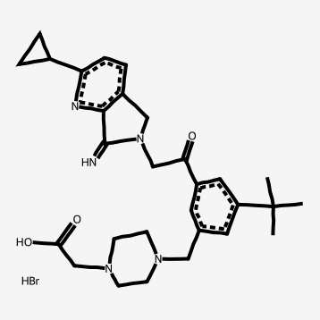 Br.CC(C)(C)c1cc(CN2CCN(CC(=O)O)CC2)cc(C(=O)CN2Cc3ccc(C4CC4)nc3C2=N)c1